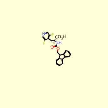 O=C(N[C@@H](Cc1c(F)cncc1F)C(=O)O)OCC1c2ccccc2-c2ccccc21